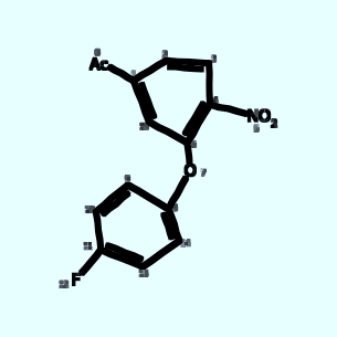 CC(=O)c1ccc([N+](=O)[O-])c(Oc2ccc(F)cc2)c1